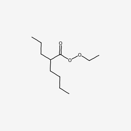 CCCCC(CCC)C(=O)OOCC